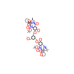 C=C1C[C@H]2C(OC3CCCCO3)N(C(=O)OC(C)(C)C)c3cc(OCc4cc(C=O)cc(COc5cc6c(cc5OC)CN5CC(C)(C)C[C@H]5[C@H](OC5CCCCO5)N6C(=O)OC(C)(C)C)c4)c(OC)cc3C(=O)N2C1